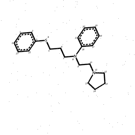 c1ccc(SCCCN(CCN2CCCC2)c2ccccc2)cc1